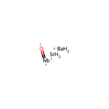 [BaH2].[O]=[Nb].[SrH2]